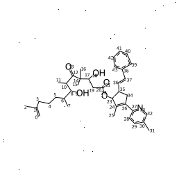 C=C(C)CCCC(C)C(O)C(C)C(=O)C(C)(C)C(O)CC(=O)OC1C(C)=C(c2ccc(C)cn2)CC1C=Cc1ccccc1